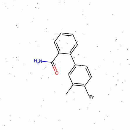 Cc1cc(-c2ccccc2C(N)=O)ccc1C(C)C